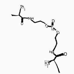 C[C@@H](N)C(=O)NCCO[PH](=O)OCCNC(=O)[C@@H](C)N